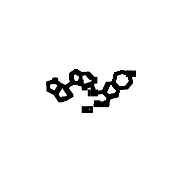 COc1cc2c(cc1Nc1ncc3ccc(-c4cccc5c4OCC5)n3n1)CCNCC2.Cl